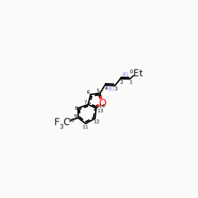 CC/C=C/C=C/c1cc2cc(C(F)(F)F)ccc2o1